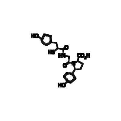 O=C(NCC(=O)N1C(C(=O)O)CCC1c1ccc(O)cc1)C(S)Cc1ccc(O)cc1